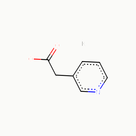 O=C([O-])Cc1cccnc1.[K+]